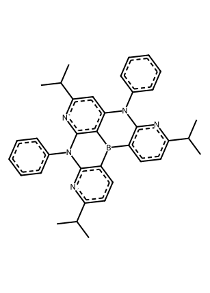 CC(C)c1ccc2c(n1)N(c1ccccc1)c1cc(C(C)C)nc3c1B2c1ccc(C(C)C)nc1N3c1ccccc1